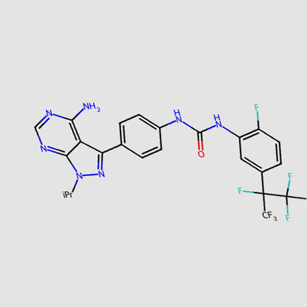 CC(C)n1nc(-c2ccc(NC(=O)Nc3cc(C(F)(C(F)(F)F)C(F)(F)C(F)(F)F)ccc3F)cc2)c2c(N)ncnc21